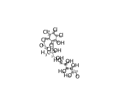 CC(O)CO.CC1CO1.O=C[C@H](O)[C@@H](O)[C@H](O)[C@H](O)CO.Oc1c(Cl)c(Cl)c(Cl)c(Cl)c1Cl